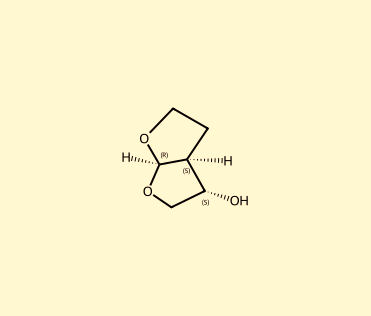 O[C@@H]1CO[C@H]2OCC[C@H]21